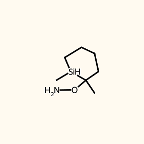 C[SiH]1CCCCC1(C)ON